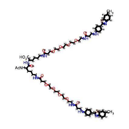 CC(=O)NC(CCCCNC(=O)CCOCCOCCOCCOCCNC(=O)CCNc1ccc(-c2nc3ccc(C)cc3s2)cc1)C(=O)NC(CCCCNC(=O)CCOCCOCCOCCOCCNC(=O)CCNc1ccc(-c2nc3ccc(C)cc3s2)cc1)C(=O)O